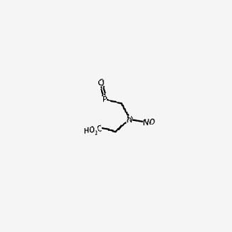 O=NN(CP=O)CC(=O)O